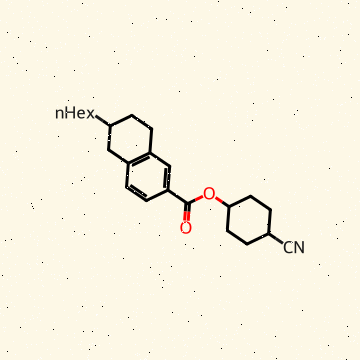 CCCCCCC1CCc2cc(C(=O)OC3CCC(C#N)CC3)ccc2C1